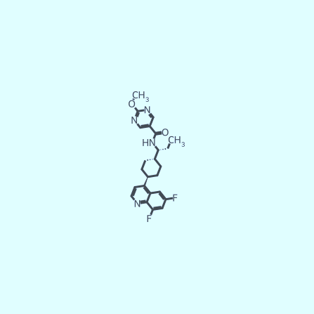 CC[C@@H](NC(=O)c1cnc(OC)nc1)[C@H]1CC[C@H](c2ccnc3c(F)cc(F)cc32)CC1